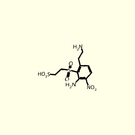 NCCc1ccc([N+](=O)[O-])c(N)c1S(=O)(=O)CCS(=O)(=O)O